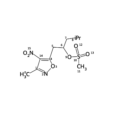 Cc1noc(CC(CC(C)C)OS(C)(=O)=O)c1[N+](=O)[O-]